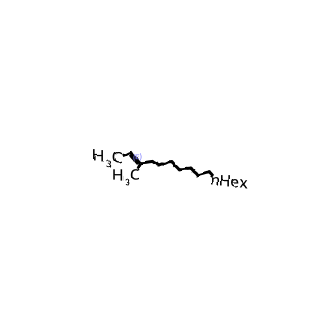 C/C=C(\C)CCCCCCCCCCCCC